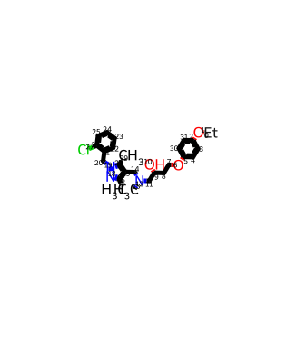 CCOc1ccc(OCCC(O)CN(C)Cc2c(C)nn(Cc3ccccc3Cl)c2C)cc1